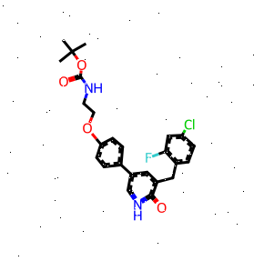 CC(C)(C)OC(=O)NCCOc1ccc(-c2c[nH]c(=O)c(Cc3ccc(Cl)cc3F)c2)cc1